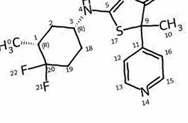 C[C@@H]1C[C@H](NC2=NC(=O)C(C)(c3ccncc3)S2)CCC1(F)F